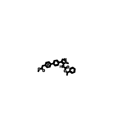 COC(=O)CC12CCC(c3ccc(-c4cnn(C)c4NC(=O)OC(C)c4ccccc4)cc3)(CC1)CO2